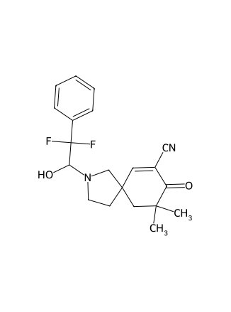 CC1(C)CC2(C=C(C#N)C1=O)CCN(C(O)C(F)(F)c1ccccc1)C2